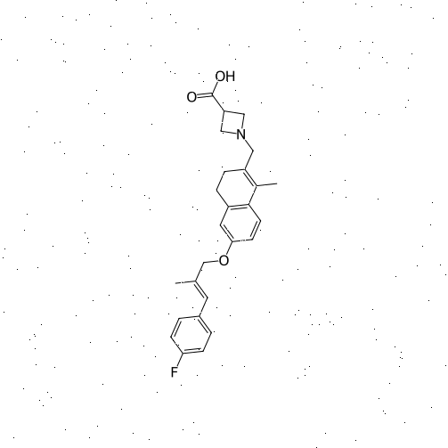 CC(=Cc1ccc(F)cc1)COc1ccc2c(c1)CCC(CN1CC(C(=O)O)C1)=C2C